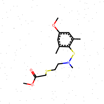 COC(=O)CSCCN(C)Sc1c(C)cc(OC)cc1C